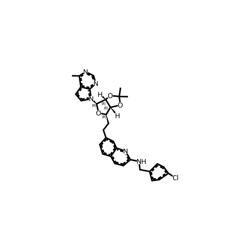 Cc1ncnc2c1ccn2[C@@H]1O[C@H](CCc2ccc3ccc(NCc4ccc(Cl)cc4)nc3c2)[C@H]2OC(C)(C)O[C@H]21